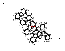 c1ccc(N(c2ccc3c(c2)C2(c4ccccc4-c4ccccc42)c2ccccc2-3)c2ccccc2-c2ccc3c(c2)C2(c4ccccc4-3)c3ccc4ccccc4c3Oc3c2ccc2ccccc32)cc1